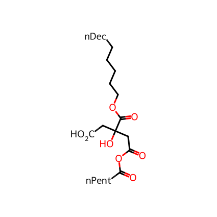 CCCCCCCCCCCCCCCOC(=O)C(O)(CC(=O)O)CC(=O)OC(=O)CCCCC